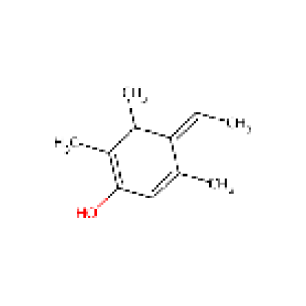 CC=C1C(C)=CC(O)=C(C)C1C